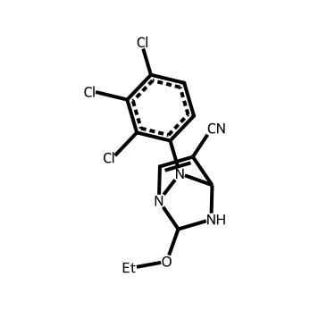 CCOC1NC2C(C#N)=CN1N2c1ccc(Cl)c(Cl)c1Cl